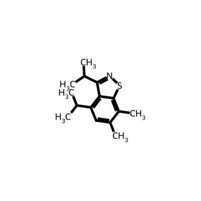 Cc1cc(C(C)C)c2c(C(C)C)nsc2c1C